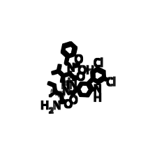 CC[C@H](C)[C@H](NC(=O)[C@@]1(NC(=O)C(C(C)C(C)C)N(Cc2ccccc2)C(=O)O)CCc2[nH]c3c(Cl)cc(Cl)cc3c2C1)C(N)=O